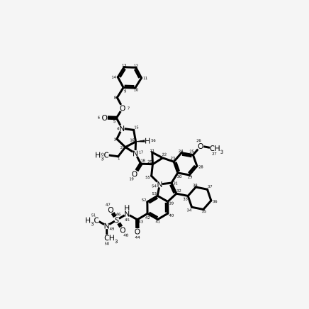 CCC12CN(C(=O)OCc3ccccc3)C[C@@H]1N2C(=O)C12CC1c1cc(OC)ccc1-c1c(C3CCCCC3)c3ccc(C(=O)NS(=O)(=O)N(C)C)cc3n1C2